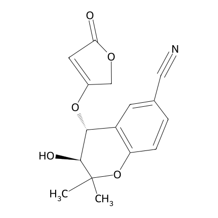 CC1(C)Oc2ccc(C#N)cc2[C@@H](OC2=CC(=O)OC2)[C@@H]1O